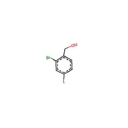 OCc1ccc(I)cc1Br